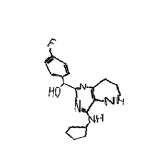 OC(c1ccc(F)cc1)c1nc2c(c(NC3CCCC3)n1)NCCC2